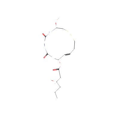 CCC[C@@H](O)CC(=O)O[C@@H]1/C=C/CCSSC[C@H](ON)NC(=O)CNC(=O)C1